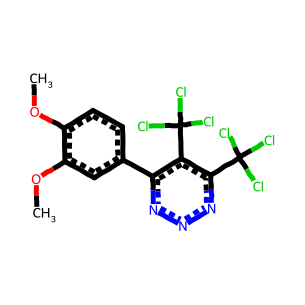 COc1ccc(-c2nnnc(C(Cl)(Cl)Cl)c2C(Cl)(Cl)Cl)cc1OC